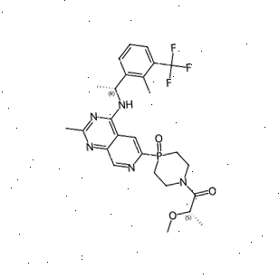 CO[C@@H](C)C(=O)N1CCP(=O)(c2cc3c(N[C@H](C)c4cccc(C(F)(F)F)c4C)nc(C)nc3cn2)CC1